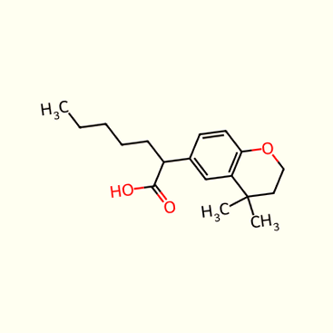 CCCCCC(C(=O)O)c1ccc2c(c1)C(C)(C)CCO2